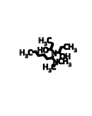 CCCCCC(N(C)C)N(C(O)CC)C(O)CC